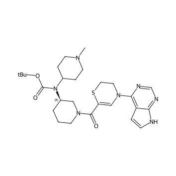 CN1CCC(N(C(=O)OC(C)(C)C)[C@@H]2CCCN(C(=O)C3=CN(c4ncnc5[nH]ccc45)CCS3)C2)CC1